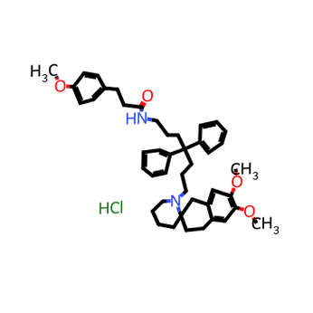 COc1ccc(CCC(=O)NCCCC(CCCN2CCCCC23CCc2cc(OC)c(OC)cc2C3)(c2ccccc2)c2ccccc2)cc1.Cl